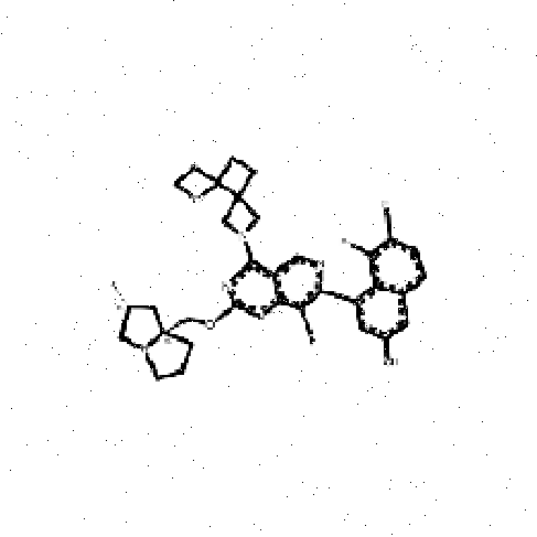 CCc1c(F)ccc2cc(O)cc(-c3ncc4c(N5CC6(CCC67CCO7)C5)nc(OC[C@@]56CCCN5C[C@H](C)C6)nc4c3F)c12